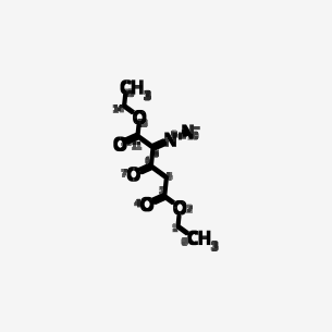 CCOC(=O)CC(=O)C(=[N+]=[N-])C(=O)OCC